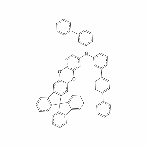 C1=C(c2ccccc2)CCC(c2cccc(N(c3cccc(-c4ccccc4)c3)c3ccc4c(c3)Oc3cc5c(cc3O4)-c3ccccc3C53C4=CCCC=C4c4ccccc43)c2)=C1